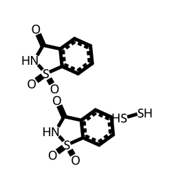 O=C1NS(=O)(=O)c2ccccc21.O=C1NS(=O)(=O)c2ccccc21.SS